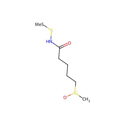 CSSNC(=O)CCCC[S+](C)[O-]